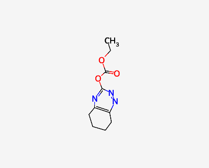 CCOC(=O)Oc1nnc2c(n1)CCCC2